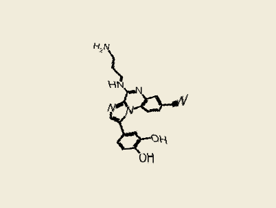 N#Cc1ccc2c(c1)nc(NCCCN)c1ncc(-c3ccc(O)c(O)c3)n12